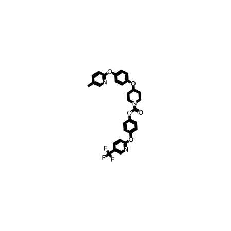 Cc1ccc(Oc2ccc(OC3CCN(C(=O)Oc4ccc(Oc5ccc(C(F)(F)F)cn5)cc4)CC3)cc2)nc1